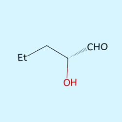 CCC[C@@H](O)C=O